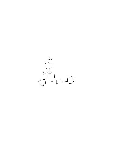 CC(C)(C)c1ccc(S(=O)(=O)N2c3ccccc3C[C@H]2C(=O)NCCc2cccc(Cl)c2)cc1